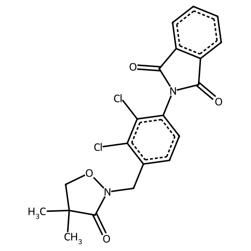 CC1(C)CON(Cc2ccc(N3C(=O)c4ccccc4C3=O)c(Cl)c2Cl)C1=O